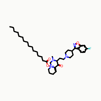 CCCCCCCCCCCCCCCC(=O)O[N+]12CCCC=C1C(=O)C(CCN1CCC(c3noc4cc(F)ccc34)CC1)N(C)C2